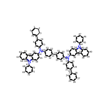 C1=CCCC(c2ccc(N(c3ccc(-c4ccc(N(c5ccc(-c6ccccc6)cc5)c5ccc6c(c5)c5ccccc5n6-c5ccccc5)cc4)cc3)c3ccc4c(c3)c3ccccc3n4-c3ccccc3)cc2)=C1